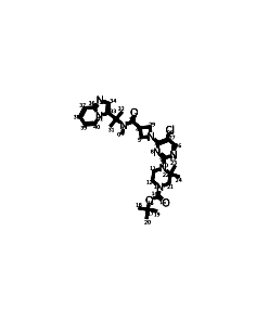 CN(C(=O)C1CN(c2nc(N3CCN(C(=O)OC(C)(C)C)CC3(C)C)ncc2Cl)C1)C(C)(C)c1cnc2ccccn12